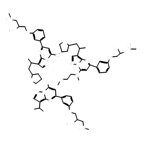 CNCC(O)COc1cccc(-c2cc(N[C@@H]3COC(CC(C)c4cnn5c(N[C@H]6COC(CC(C)c7cnn8c(N(C)CCOC)cc(-c9cccc(OCC(O)CNC)c9)nc78)C6)cc(-c6cccc(OCC(O)CNC)c6)nc45)C3)n3ncc(C(C)C)c3n2)c1